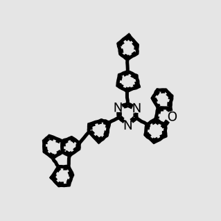 c1ccc(-c2ccc(-c3nc(-c4ccc(-c5cc6c7c(cccc7c5)-c5ccccc5-6)cc4)nc(-c4cccc5oc6ccccc6c45)n3)cc2)cc1